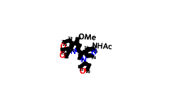 COCc1cc(-c2cn([C@H]3CCOC3)c3cnc(NC(C)=O)cc23)nc2c1CCOC21CCOC1